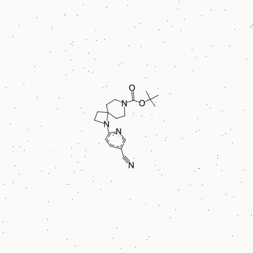 CC(C)(C)OC(=O)N1CCC2(CC1)CCN2c1ccc(C#N)cn1